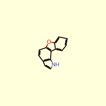 c1ccc2c(c1)oc1ccc3cc[nH]c3c12